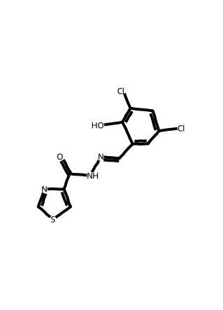 O=C(NN=Cc1cc(Cl)cc(Cl)c1O)c1cscn1